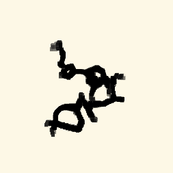 CC(=O)N1c2ccc(-c3cnn(CCO)c3)cc2N(C(=O)OC2CCC(F)(F)CC2)CC1C